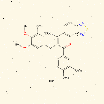 COc1ccc(C(=O)C(Cc2cc(OC)c(OC(C)C)c(OC(C)C)c2)=C(C(=O)[O-])c2ccc3nsnc3c2)cc1OC.[Na+]